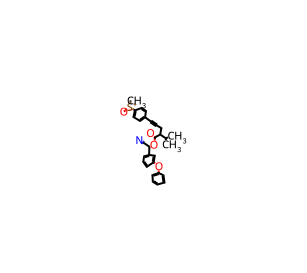 CC(C)C(CC#Cc1ccc([S+](C)[O-])cc1)C(=O)OC(C#N)c1cccc(Oc2ccccc2)c1